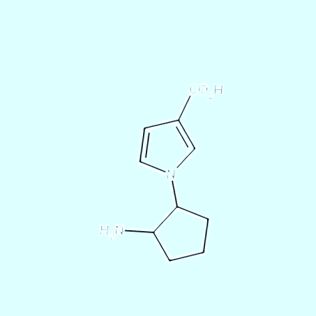 NC1CCCC1n1ccc(C(=O)O)c1